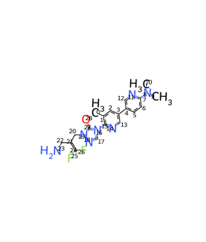 Cc1cc(-c2ccc(N(C)C)nc2)cnc1-n1cnn(CC(CN)=C(F)F)c1=O